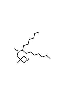 CCCCCCCC(CCCCCC)N(C)CC1(C)COC1